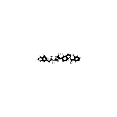 COc1ccccc1C(=O)N1CCc2cc(-c3nc(NC(=O)Cc4ccc5c(c4)OCO5)sc3C)ccc21